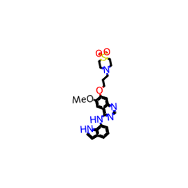 COc1cc2c(Nc3cccc4cc[nH]c34)ncnc2cc1OCCCN1CCS(=O)(=O)CC1